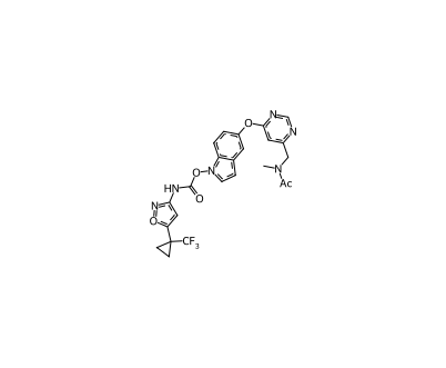 CC(=O)N(C)Cc1cc(Oc2ccc3c(ccn3OC(=O)Nc3cc(C4(C(F)(F)F)CC4)on3)c2)ncn1